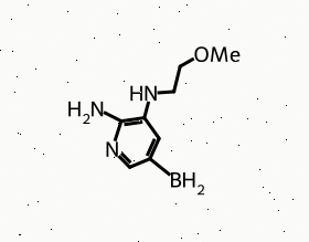 Bc1cnc(N)c(NCCOC)c1